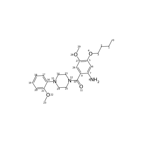 CCCCOc1cc(N)c(C(=O)N2CCN(c3ccccc3OC)CC2)cc1OC